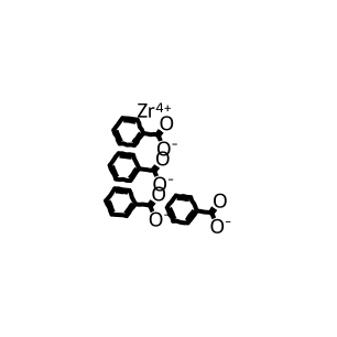 O=C([O-])c1ccccc1.O=C([O-])c1ccccc1.O=C([O-])c1ccccc1.O=C([O-])c1ccccc1.[Zr+4]